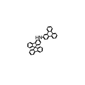 c1ccc2c(c1)-c1ccccc1C21c2ccccc2-c2cc(Nc3ccc4c5ccccc5c5ccccc5c4c3)ccc21